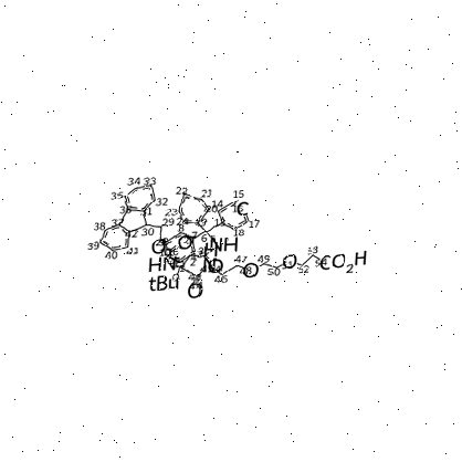 CC(C)(C)C(CC(=O)NC(c1ccccc1)(c1ccccc1)c1ccccc1)(NC(=O)OCC1c2ccccc2-c2ccccc21)C(=O)NCCOCCOCCC(=O)O